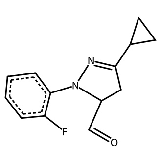 O=CC1CC(C2CC2)=NN1c1ccccc1F